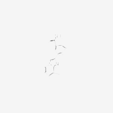 Cc1cccn2cc(-c3cccc(C(N)=O)c3)nc12